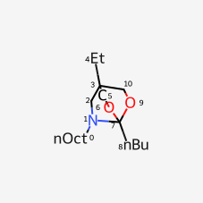 CCCCCCCCN1CC2(CC)COC1(CCCC)OC2